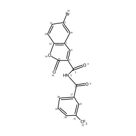 O=C(NC(=O)c1cc2cc(Br)ccc2oc1=O)c1cccc(C(F)(F)F)c1